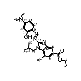 CCOC(=O)c1cc(F)c2c(c1)nc(N=Nc1ccc(N(C)C)cc1O)n2CC(C)C